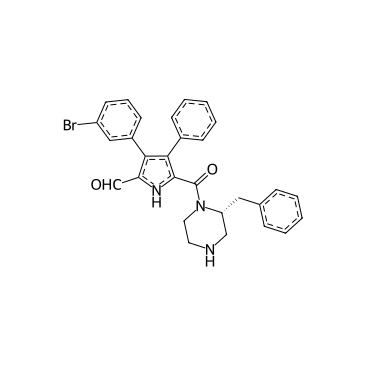 O=Cc1[nH]c(C(=O)N2CCNC[C@H]2Cc2ccccc2)c(-c2ccccc2)c1-c1cccc(Br)c1